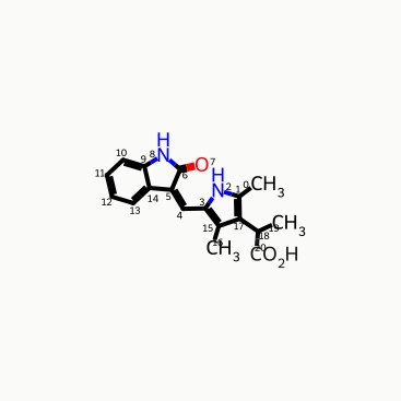 Cc1[nH]c(C=C2C(=O)Nc3ccccc32)c(C)c1C(C)C(=O)O